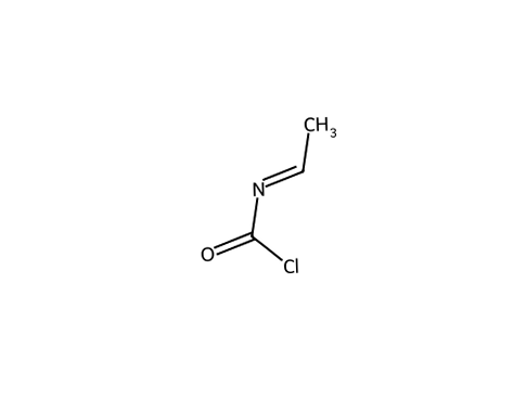 CC=NC(=O)Cl